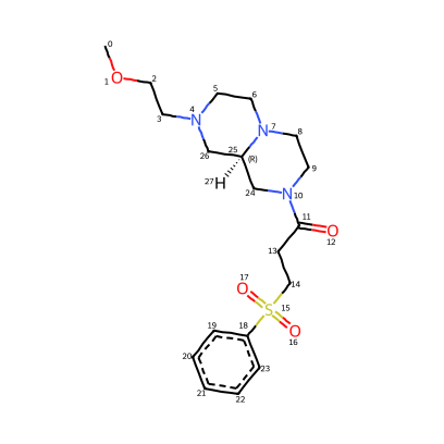 COCCN1CCN2CCN(C(=O)CCS(=O)(=O)c3ccccc3)C[C@H]2C1